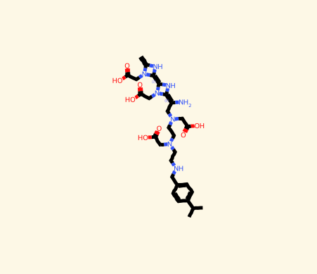 C=c1[nH]/c(=c2\[nH]/c(=C(\N)CN(CCN(CCNCc3ccc(C(C)C)cc3)CC(=O)O)CC(=O)O)n2CC(=O)O)n1CC(=O)O